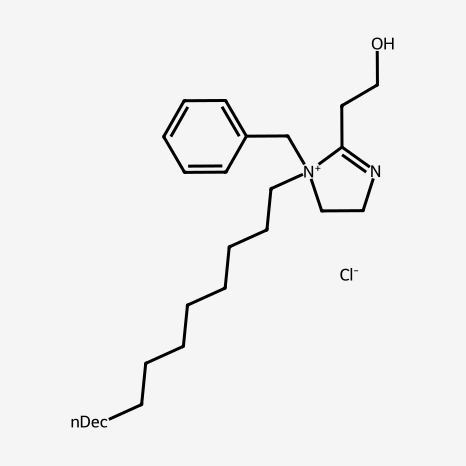 CCCCCCCCCCCCCCCCCC[N+]1(Cc2ccccc2)CCN=C1CCO.[Cl-]